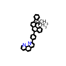 C[Si]1(C)c2ccccc2-c2ccc3cc(-c4ccc(-c5ccc6ccc7cccnc7c6n5)cc4)c4ccccc4c3c21